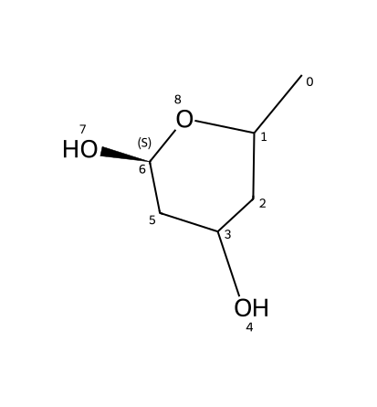 CC1CC(O)C[C@@H](O)O1